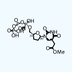 COC(=O)Cc1cn([C@H]2CC[C@@H](COP(=O)(O)OP(=O)(O)OP(=O)(O)O)O2)c(=O)[nH]c1=O